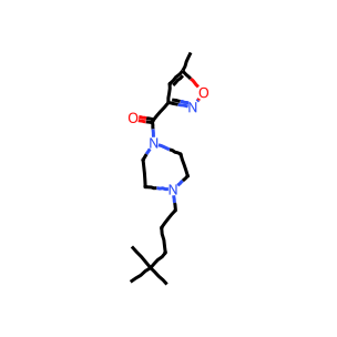 Cc1cc(C(=O)N2CCN(CCCC(C)(C)C)CC2)no1